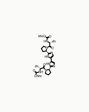 COC(=O)N[C@@H](C(=O)N1CCC[C@@H]1c1ncc(-c2cnc([C@H]3CCCN3C(=O)[C@H](NC(=O)OC)C(C)C)[nH]2)[nH]1)C(C)C